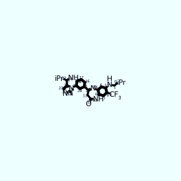 CC(C)CNc1cc2c(cc1C(F)(F)F)NC(=O)CC(c1cccc(-n3nncc3C(N)C(C)C)c1)=N2